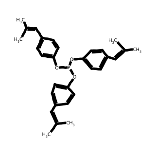 CC(C)=Cc1ccc(OP(Oc2ccc(C=C(C)C)cc2)Oc2ccc(C=C(C)C)cc2)cc1